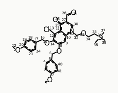 COc1ccc(COc2cc3c(c(Cl)c2OCc2ccc(OC)cc2)c(=O)c(C=O)cn3COCC[Si](C)(C)C)cc1